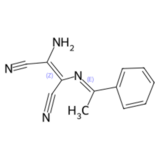 C/C(=N\C(C#N)=C(/N)C#N)c1ccccc1